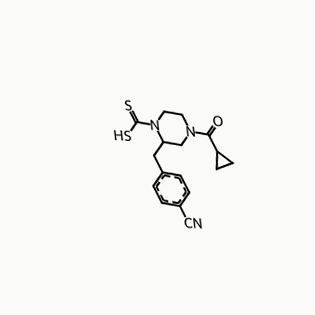 N#Cc1ccc(CC2CN(C(=O)C3CC3)CCN2C(=S)S)cc1